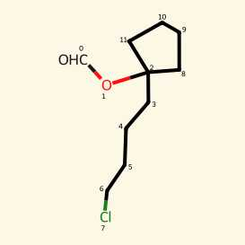 O=COC1(CCCCCl)CCCC1